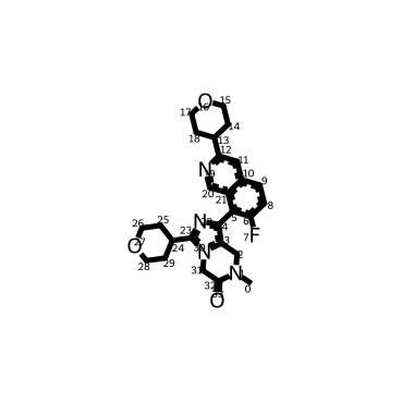 CN1Cc2c(-c3c(F)ccc4cc(C5CCOCC5)ncc34)nc(C3CCOCC3)n2CC1=O